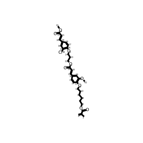 C=C(C)C(=O)OCCCCCCOc1ccc(/C=C/C(=O)OCCCOc2ccc(/C=C/C(=O)OC)cc2Cl)cc1OC